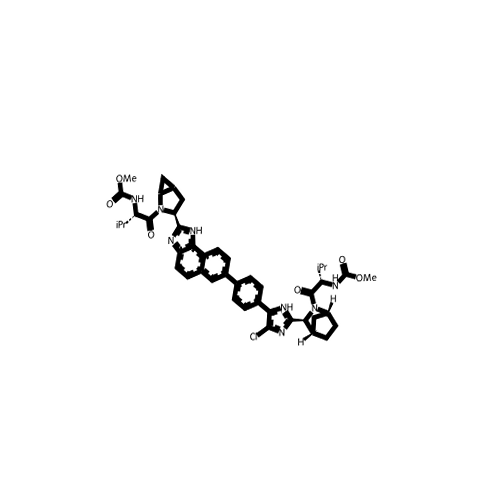 COC(=O)N[C@H](C(=O)N1C2CC2C[C@H]1c1nc2ccc3cc(-c4ccc(-c5[nH]c([C@@H]6[C@H]7CC[C@H](C7)N6C(=O)[C@@H](NC(=O)OC)C(C)C)nc5Cl)cc4)ccc3c2[nH]1)C(C)C